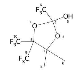 CC1(C)OC(O)(C(F)(F)F)OC1(C(F)(F)F)C(F)(F)F